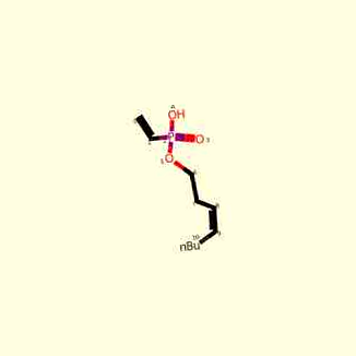 C=CP(=O)(O)OCC/C=C\CCCC